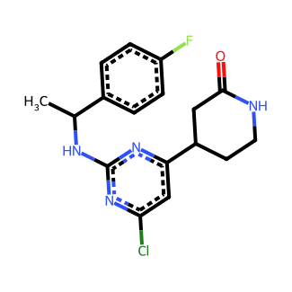 CC(Nc1nc(Cl)cc(C2CCNC(=O)C2)n1)c1ccc(F)cc1